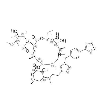 CC[C@H]1OC(=O)[C@H](C)[C@@H](O[C@H]2C[C@@](C)(OC)[C@@H](O)[C@H](C)O2)[C@H](C)[C@@H](O[C@@H]2O[C@H](C)C[C@H](N(C)CCc3cn(Cc4ccc(-c5csnn5)cc4)nn3)[C@H]2O)[C@](C)(O)C[C@@H](C)CN(C)[C@H](C)[C@@H](O)[C@]1(C)O